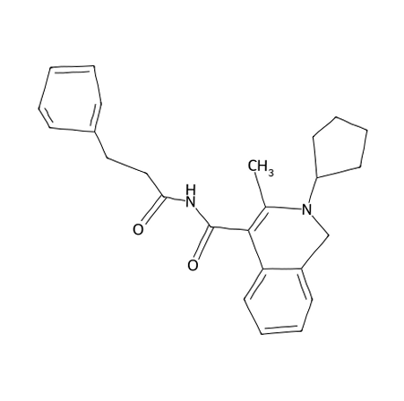 CC1=C(C(=O)NC(=O)CCc2ccccc2)c2ccccc2CN1C1CCCC1